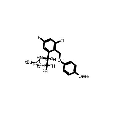 [2H]C([2H])([2H])[C@]([2H])(N[S@@+]([O-])C(C)(C)C)c1cc(F)cc(Cl)c1COc1ccc(OC)cc1